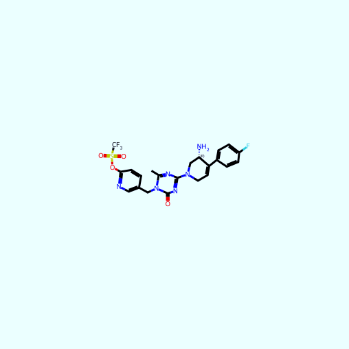 Cc1nc(N2CC=C(c3ccc(F)cc3)[C@@H](N)C2)nc(=O)n1Cc1ccc(OS(=O)(=O)C(F)(F)F)nc1